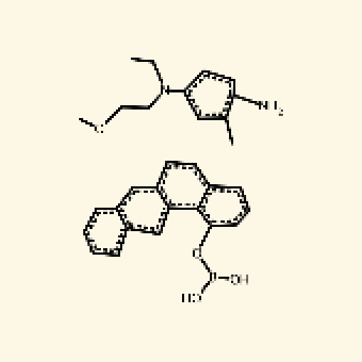 CCN(CCOC)c1ccc(N)c(C)c1.OB(O)Oc1cccc2ccc3cc4ccccc4cc3c12